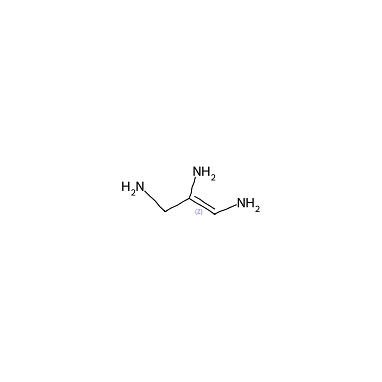 N/C=C(\N)CN